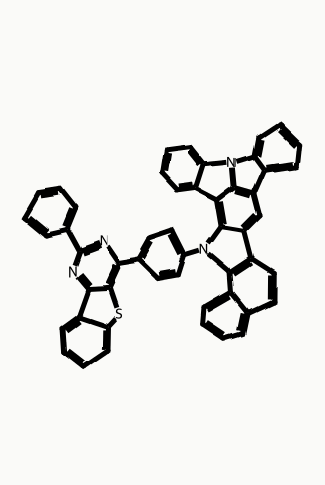 c1ccc(-c2nc(-c3ccc(-n4c5c6ccccc6ccc5c5cc6c7ccccc7n7c8ccccc8c(c54)c67)cc3)c3sc4ccccc4c3n2)cc1